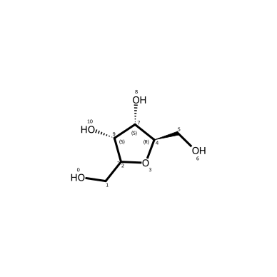 OC[C]1O[C@H](CO)[C@@H](O)[C@H]1O